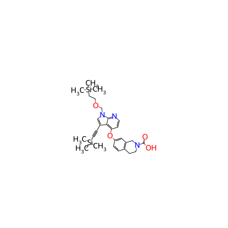 C[Si](C)(C)C#Cc1cn(COCC[Si](C)(C)C)c2nccc(Oc3ccc4c(c3)CN(C(=O)O)CC4)c12